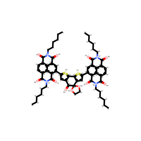 CCCCCCN1C(=O)c2ccc3c4c(c(-c5cc6c(s5)-c5sc(-c7cc8c9c(ccc%10c9c7C(=O)N(CCCCCC)C%10=O)C(=O)N(CCCCCC)C8=O)cc5C5(OCCO5)C6=O)cc(c24)C1=O)C(=O)N(CCCCCC)C3=O